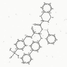 O=C([C@H](Cc1ccccc1)N(Cc1ccc(-c2ccncc2)cc1)C(=O)C=Cc1ccc(C(F)(F)F)cn1)N1CCc2ccccc2C1